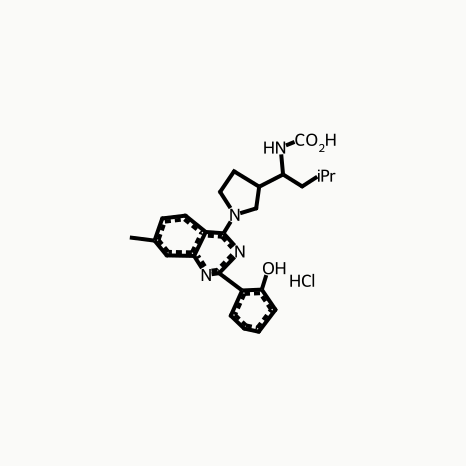 Cc1ccc2c(N3CCC(C(CC(C)C)NC(=O)O)C3)nc(-c3ccccc3O)nc2c1.Cl